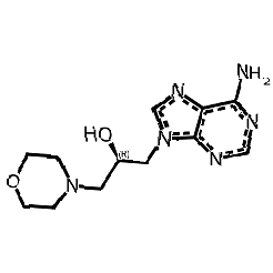 Nc1ncnc2c1ncn2C[C@H](O)CN1CCOCC1